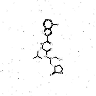 CC(C)C[C@H](NC(=O)c1cc2c(F)cccc2[nH]1)C(=O)N[C@H](CO)C[C@@H]1CCNC1=O